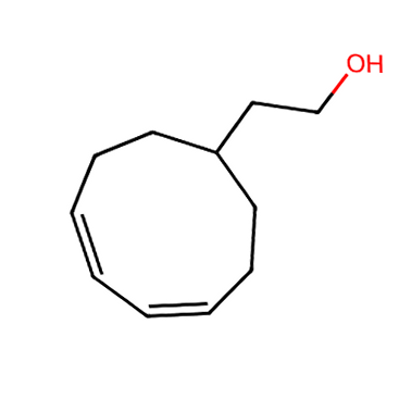 OCCC1CCC=CC=CCC1